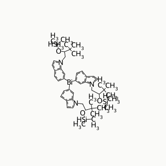 C[SiH](C)OC(Cn1ccc2cc[c]([Bi]([c]3ccc4ccn(CC(O[SiH](C)C)C(C)(C)C)c4c3)[c]3ccc4ccn(CC(O[SiH](C)C)C(C)(C)C)c4c3)cc21)C(C)(C)C